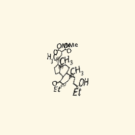 CCC(O)CC[C@@]1(C)C[C@H](CC)C(=O)C2C1CC[C@@]1(C)C2CCC1[C@H](C)CC(C(=O)OC)C(=O)OC